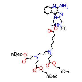 CCCCCCCCCCCCOC(=O)CCN(CCCCCC(=O)OC(C)(C)Cn1c(CNCC)nc2c(N)nc3ccccc3c21)CCCN(CCC(=O)OCCCCCCCCCC)CCC(=O)OCCCCCCCCCCCC